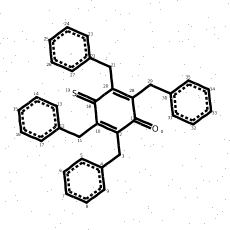 O=C1C(Cc2ccccc2)=C(Cc2ccccc2)C(=S)C(Cc2ccccc2)=C1Cc1ccccc1